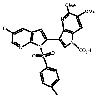 COc1cc2c(nc1OC)c(-c1cc3cc(F)cnc3n1S(=O)(=O)c1ccc(C)cc1)cn2C(=O)O